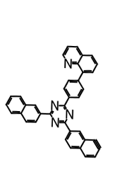 c1ccc2ccc(-c3nc(-c4ccc(-c5cccc6cccnc56)cc4)nc(-c4ccc5ccccc5c4)n3)cc2c#1